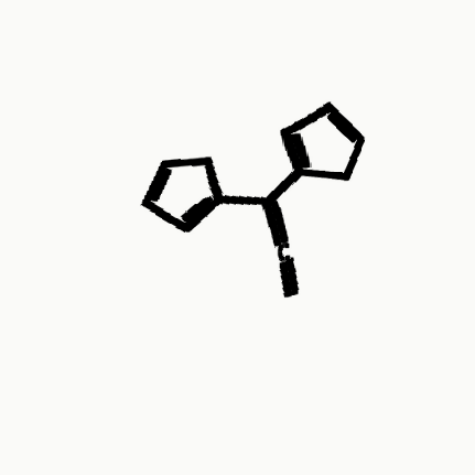 C=C=C(C1=CC=CC1)C1=CC=CC1